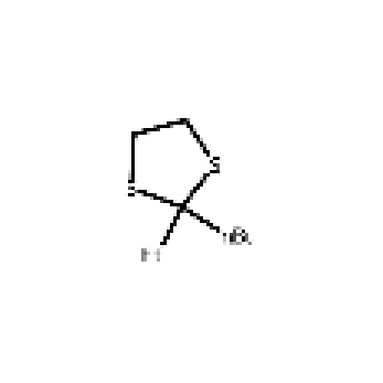 CCCCC1(CC)SCCS1